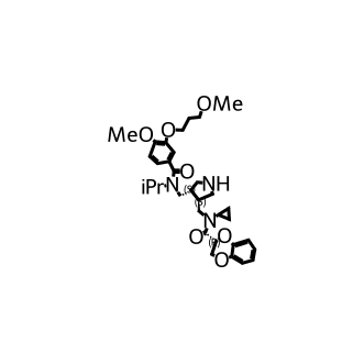 COCCCOc1cc(C(=O)N(C[C@@H]2CNC[C@H]2CN(C(=O)[C@H]2COc3ccccc3O2)C2CC2)C(C)C)ccc1OC